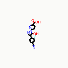 N#Cc1ccc(-c2cnn(-c3ccc(C(=O)O)cn3)c2O)c(F)c1